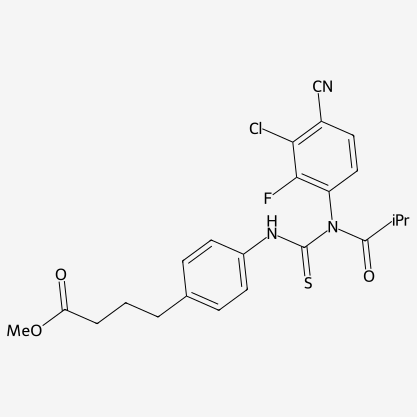 COC(=O)CCCc1ccc(NC(=S)N(C(=O)C(C)C)c2ccc(C#N)c(Cl)c2F)cc1